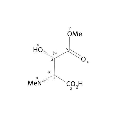 CN[C@@H](C(=O)O)[C@H](O)C(=O)OC